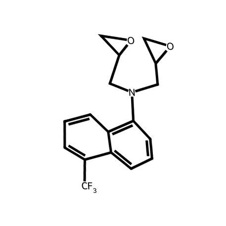 FC(F)(F)c1cccc2c(N(CC3CO3)CC3CO3)cccc12